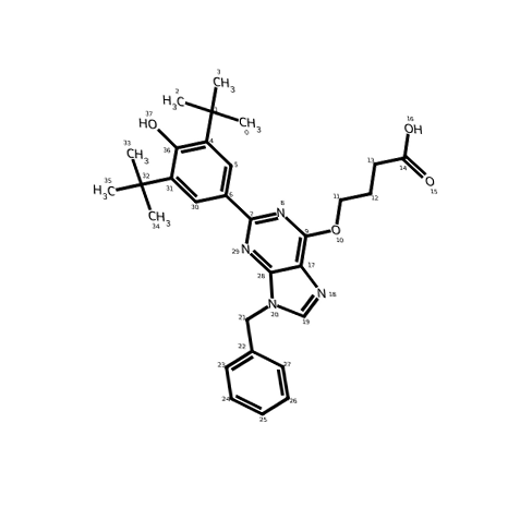 CC(C)(C)c1cc(-c2nc(OCCCC(=O)O)c3ncn(Cc4ccccc4)c3n2)cc(C(C)(C)C)c1O